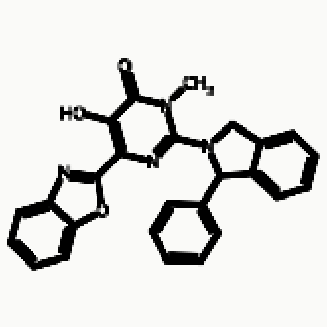 Cn1c(N2Cc3ccccc3C2c2ccccc2)nc(-c2nc3ccccc3o2)c(O)c1=O